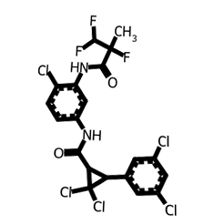 CC(F)(C(=O)Nc1cc(NC(=O)C2C(c3cc(Cl)cc(Cl)c3)C2(Cl)Cl)ccc1Cl)C(F)F